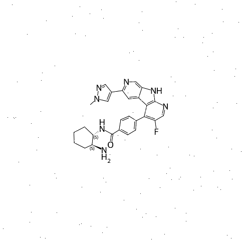 Cn1cc(-c2cc3c(cn2)[nH]c2ncc(F)c(-c4ccc(C(=O)N[C@H]5CCCC[C@@H]5N)cc4)c23)cn1